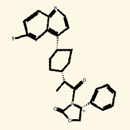 CC(C(=O)N1C(=O)OC[C@H]1c1ccccc1)[C@H]1CC[C@@H](c2ccnc3ccc(F)cc32)CC1